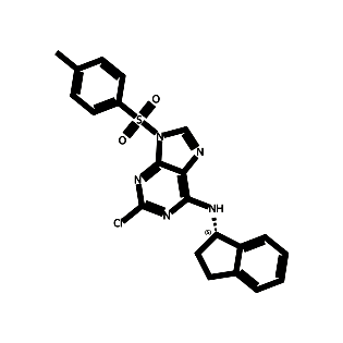 Cc1ccc(S(=O)(=O)n2cnc3c(N[C@H]4CCc5ccccc54)nc(Cl)nc32)cc1